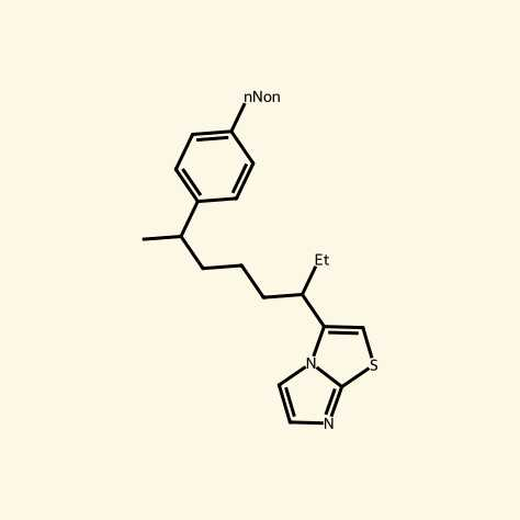 CCCCCCCCCc1ccc(C(C)CCCC(CC)c2csc3nccn23)cc1